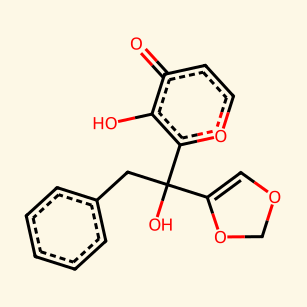 O=c1ccoc(C(O)(Cc2ccccc2)C2=COCO2)c1O